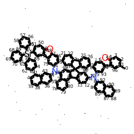 Cc1ccc2oc3ccc(N(c4ccc5c(c4)C4(c6ccccc6-c6ccccc64)c4cc(N(c6ccc7ccccc7c6)c6ccc7oc8ccc([Si](c9ccccc9)(c9ccccc9)c9ccccc9)cc8c7c6)c6ccccc6c4-5)c4ccc5ccccc5c4)cc3c2c1